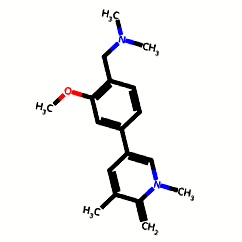 C=C1C(C)=CC(c2ccc(CN(C)C)c(OC)c2)=CN1C